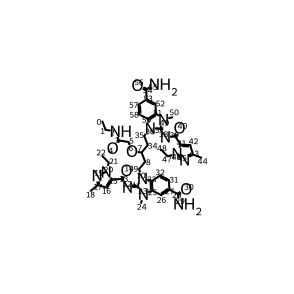 CCNC(=O)COC(CCn1c(=NC(=O)c2cc(C)nn2CC)n(C)c2cc(C(N)=O)ccc21)CCn1c(=NC(=O)c2cc(C)nn2CC)n(C)c2cc(C(N)=O)ccc21